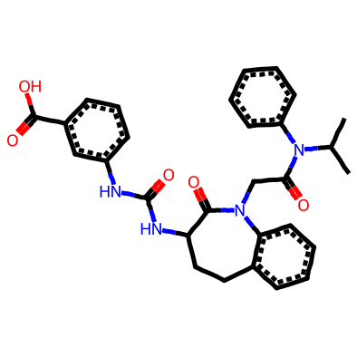 CC(C)N(C(=O)CN1C(=O)C(NC(=O)Nc2cccc(C(=O)O)c2)CCc2ccccc21)c1ccccc1